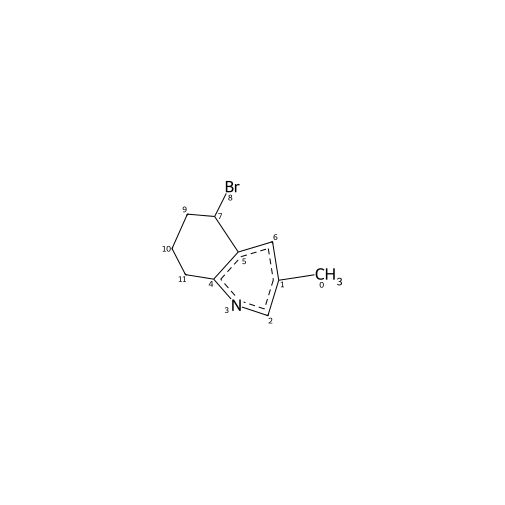 Cc1cnc2c(c1)C(Br)CCC2